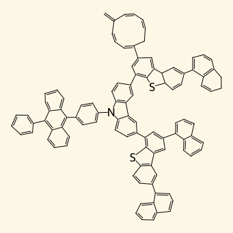 C=C1/C=C\C=C/C/C(c2cc(-c3ccc4c(c3)c3cc(-c5cc(-c6cccc7ccccc67)cc6c5sc5ccc(-c7cccc8ccccc78)cc56)ccc3n4-c3ccc(-c4c5ccccc5c(-c5ccccc5)c5ccccc45)cc3)c3c(c2)C2C=C(c4cccc5c4C=CCC5)C=CC2S3)=C\C=C/1